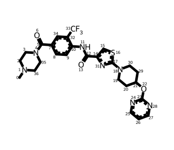 CN1CCN(C(=O)c2ccc(NC(=O)c3csc(N4CCC(Oc5ncccn5)CC4)n3)c(C(F)(F)F)c2)CC1